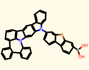 OB(O)c1ccc2c(c1)sc1cc(-n3c4ccccc4c4cc5c6cccc7c6n(c5cc43)-c3ccccc3-c3ccccc3-7)ccc12